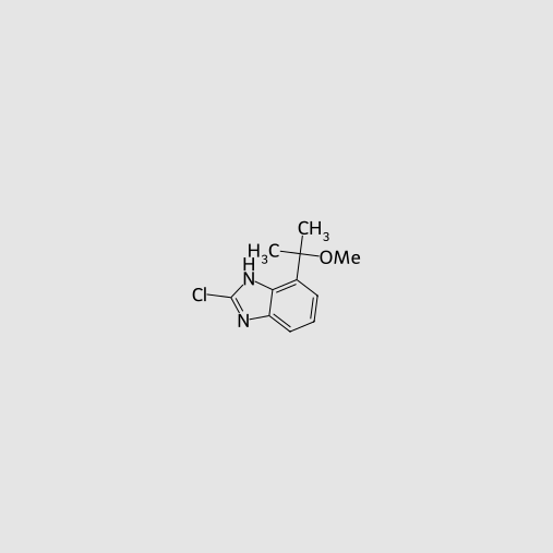 COC(C)(C)c1cccc2nc(Cl)[nH]c12